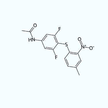 CC(=O)Nc1cc(F)c(Sc2ccc(C)cc2[N+](=O)[O-])c(F)c1